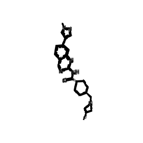 Cn1cc(-c2ccc3cnc(NC(=O)[C@H]4CC[C@H](CN5CC(F)C5)CC4)nc3c2)cn1